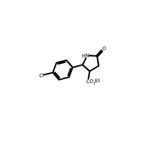 CCOC(=O)C1CC(=O)NC1c1ccc(Cl)cc1